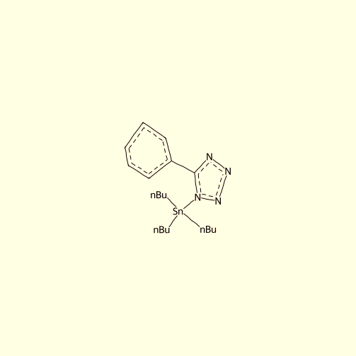 CCC[CH2][Sn]([CH2]CCC)([CH2]CCC)[n]1nnnc1-c1ccccc1